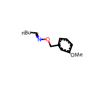 CCCC/[C]=N/OCc1cccc(OC)c1